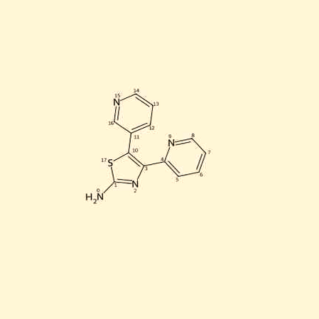 Nc1nc(-c2ccccn2)c(-c2cccnc2)s1